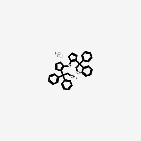 CCC(C1=[C]([Zr][C]2=C(C(CC)(c3ccccc3)c3ccccc3)C=CC2)CC=C1)(c1ccccc1)c1ccccc1.Cl.Cl